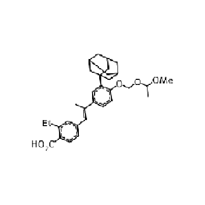 CCc1cc(/C=C(\C)c2ccc(OCOC(C)OC)c(C34CC5CC(CC(C5)C3)C4)c2)ccc1C(=O)O